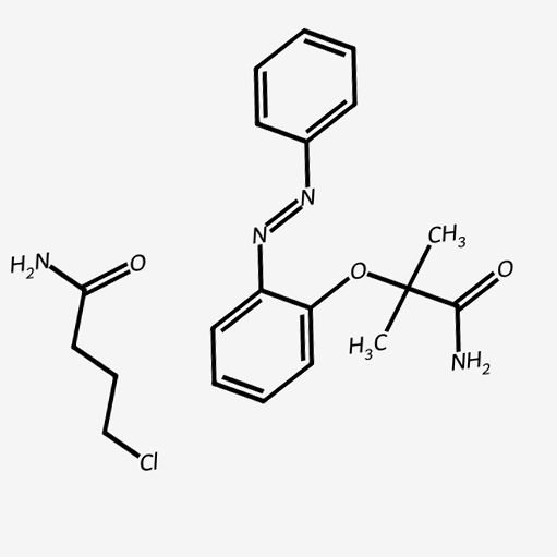 CC(C)(Oc1ccccc1N=Nc1ccccc1)C(N)=O.NC(=O)CCCCl